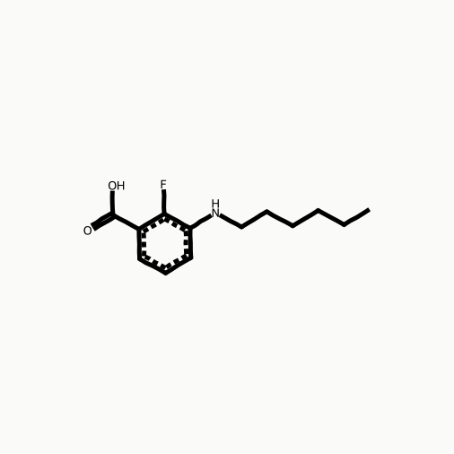 CCCCCCNc1cccc(C(=O)O)c1F